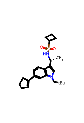 CC(C)(C)Cn1cc([C@H](NS(=O)(=O)C2CCC2)C(F)(F)F)c2ccc(C3=CCCC3)cc21